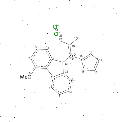 COc1cccc2c1-c1ccccc1[CH]2[Zr+2]([C]1=CC=CC1)=[C](C)C.[Cl-].[Cl-]